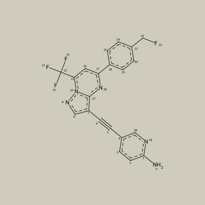 Nc1ccc(C#Cc2cnn3c(C(F)(F)F)cc(-c4ccc(CF)cc4)nc23)cn1